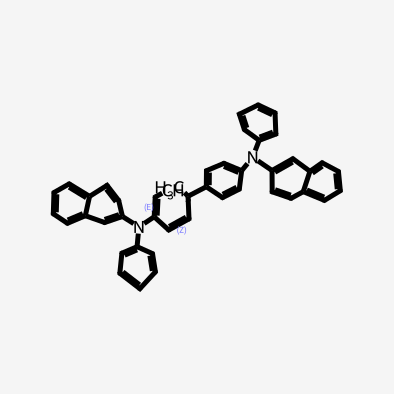 C/C=C(\C=C/C(C)c1ccc(N(c2ccccc2)c2ccc3ccccc3c2)cc1)N(c1ccccc1)c1ccc2ccccc2c1